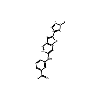 CC(=O)c1cccc(Nc2cc3[nH]c(-c4cnn(C)c4)cc3cn2)c1